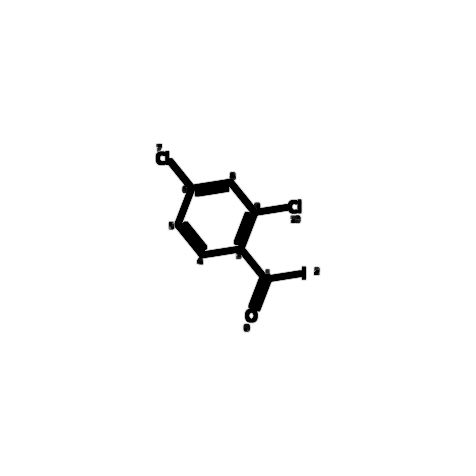 O=C(I)c1ccc(Cl)cc1Cl